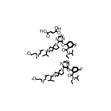 CCN(C(=O)c1cc(F)ccc1Oc1nncnc1N1CCC2(C1)CN([C@@H](C[C@@H](C)CN(C)CCOC)C(C)C)C2)C(C)C.CCN(C(=O)c1cc(F)ccc1Oc1nncnc1N1CCC2(C1)CN([C@@H](C[C@@H](C)CN(C)CCOC)C(C)C)C2)C(C)C.O=C(O)/C=C/C(=O)O